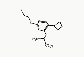 NC(Cc1cc(OCCF)ccc1C1CCC1)C(=O)O